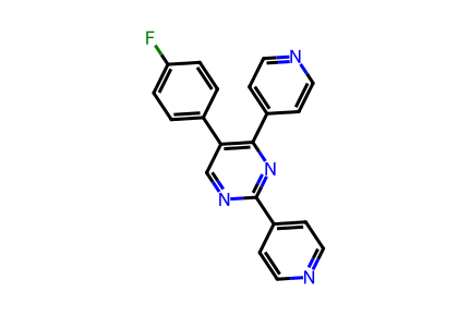 Fc1ccc(-c2cnc(-c3ccncc3)nc2-c2ccncc2)cc1